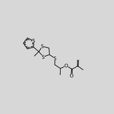 C=C(C)C(=O)OC(C)CSC1CSC(C)(c2cccs2)S1